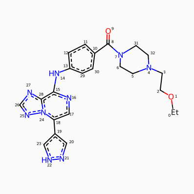 CCOCCN1CCN(C(=O)c2ccc(Nc3ncc(-c4cn[nH]c4)n4ncnc34)cc2)CC1